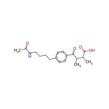 CC(=O)NCCCCc1ccc(C(=O)C(C)C(C)C(=O)O)cc1